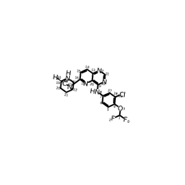 FC(F)Oc1ccc(Nc2ncnc3ccc(N4C[C@@H]5CCC4CN5)nc23)cc1Cl